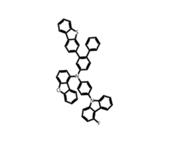 Fc1cccc2c1c1ccccc1n2-c1ccc(N(c2ccc(-c3ccccc3)c(-c3ccc4c(c3)sc3ccccc34)c2)c2cccc3oc4ccccc4c23)cc1